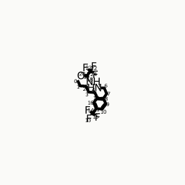 CCC(CC1NCCc2ccc(C(F)(F)F)cc21)NC(=O)C(F)(F)F